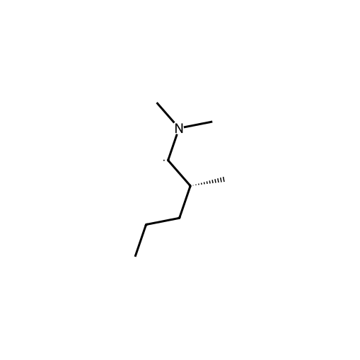 CCC[C@@H](C)[CH]N(C)C